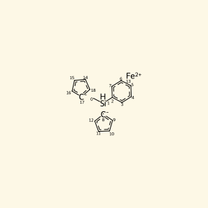 C[SiH](c1ccccc1)[c-]1cccc1.[Fe+2].c1cc[cH-]c1